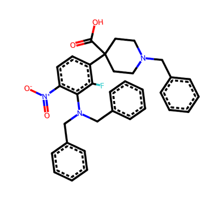 O=C(O)C1(c2ccc([N+](=O)[O-])c(N(Cc3ccccc3)Cc3ccccc3)c2F)CCN(Cc2ccccc2)CC1